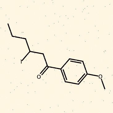 CCCC(I)CC(=O)c1ccc(OC)cc1